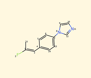 [CH2]/C(F)=C\c1ccc(-n2ccnc2)cc1